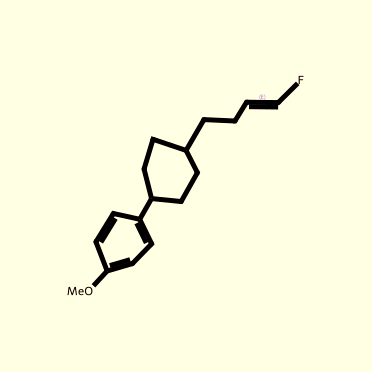 COc1ccc(C2CCC(CC/C=C/F)CC2)cc1